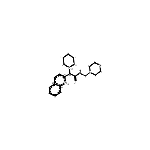 S=C(NCN1CCOCC1)C(c1ccc2ccccc2n1)N1CCCCC1